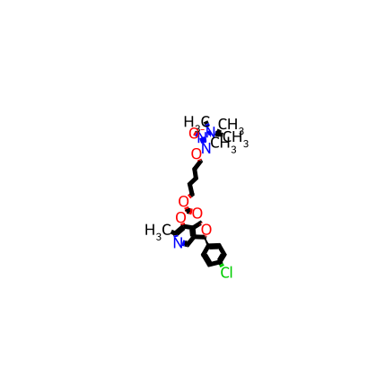 Cc1ncc2c(c1OC(=O)OCCCCCO/N=[N+](\[O-])N(C)C(C)(C)C)CO[C@H]2c1ccc(Cl)cc1